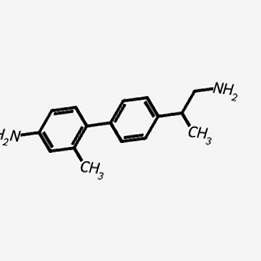 Cc1cc(N)ccc1-c1ccc(C(C)CN)cc1